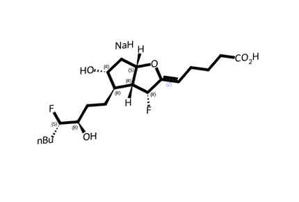 CCCC[C@H](F)[C@H](O)CC[C@@H]1[C@@H]2[C@H](C[C@H]1O)O/C(=C\CCCC(=O)O)[C@@H]2F.[NaH]